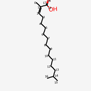 CC(=CCCCCCCCCCCCC(C)C)C(=O)O